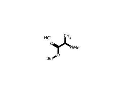 CNC(C)C(=O)OC(C)(C)C.Cl